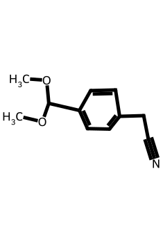 COC(OC)c1ccc(CC#N)cc1